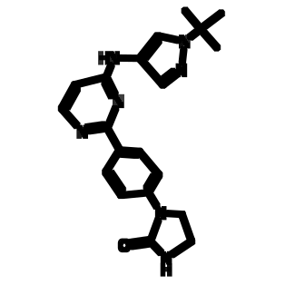 CC(C)(C)n1cc(Nc2ccnc(-c3ccc(N4CCNC4=O)cc3)n2)cn1